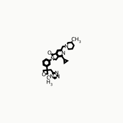 C[C@H]1CCCN(Cc2cc3c(c(C4CC4)n2)CN(c2cccc(C4(Cc5nncn5C)COC4)c2)C3=O)C1